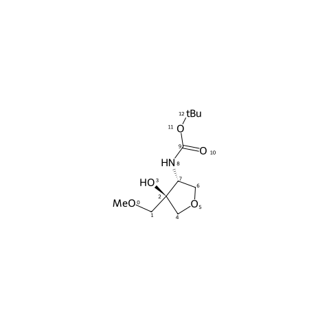 COC[C@@]1(O)COC[C@H]1NC(=O)OC(C)(C)C